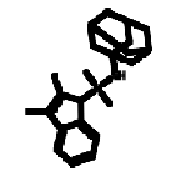 CC1=C(C)C([Si](C)(C)NC23CC4CC(CC(C4)C2)C3)c2ccccc21